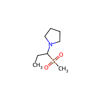 CCC(N1CCCC1)S(C)(=O)=O